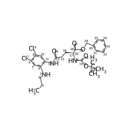 CCCNc1cc(Cl)c(Cl)cc1NC(=O)CC[C@H](NC(=O)OC(C)(C)C)C(=O)OCc1ccccc1